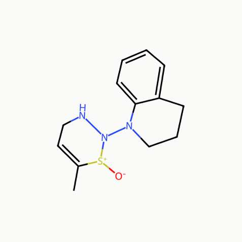 CC1=CCNN(N2CCCc3ccccc32)[S+]1[O-]